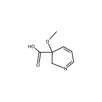 COC1(C(=O)O)C=CC=NC1